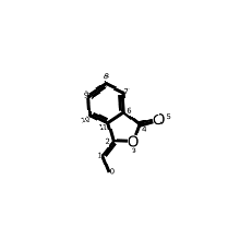 CC=C1OC(=O)c2ccccc21